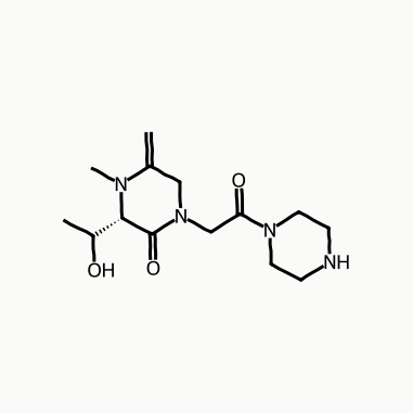 C=C1CN(CC(=O)N2CCNCC2)C(=O)[C@H](C(C)O)N1C